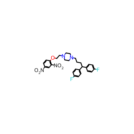 O=[N+]([O-])c1ccc(OCCN2CCN(CCCC(c3ccc(F)cc3)c3ccc(F)cc3)CC2)c([N+](=O)[O-])c1